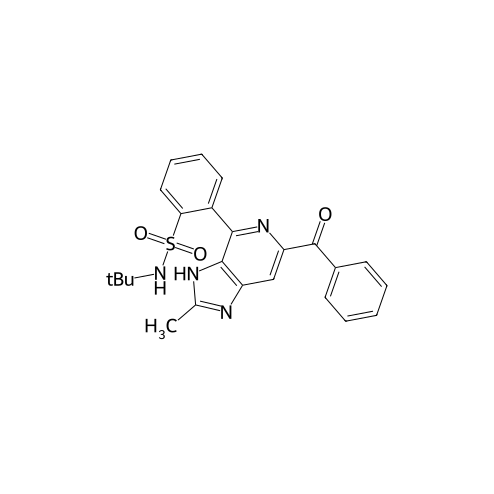 Cc1nc2cc(C(=O)c3ccccc3)nc(-c3ccccc3S(=O)(=O)NC(C)(C)C)c2[nH]1